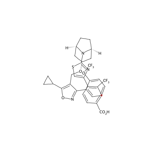 O=C(O)c1ccc(-c2csc(N3[C@@H]4CC[C@H]3C[C@H](OCc3c(-c5ccccc5OC(F)(F)F)noc3C3CC3)C4)n2)c(C(F)(F)F)c1